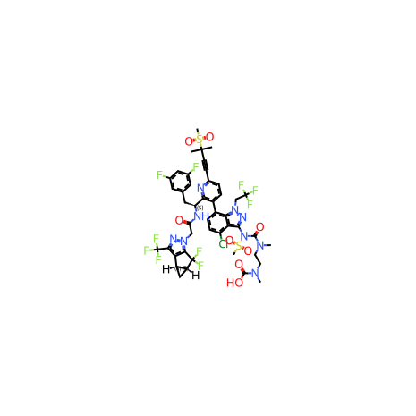 CN(CCN(C)C(=O)N(c1nn(CC(F)(F)F)c2c(-c3ccc(C#CC(C)(C)S(C)(=O)=O)nc3[C@H](Cc3cc(F)cc(F)c3)NC(=O)Cn3nc(C(F)(F)F)c4c3C(F)(F)[C@@H]3C[C@H]43)ccc(Cl)c12)S(C)(=O)=O)C(=O)O